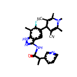 CC1=C(C#N)C(c2cc3c(NC(=O)C(C)c4cccnc4)n[nH]c3c(C)c2F)C(C#N)=C(C)N1C